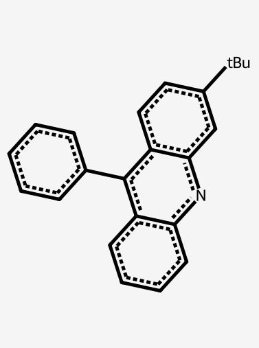 CC(C)(C)c1ccc2c(-c3ccccc3)c3ccccc3nc2c1